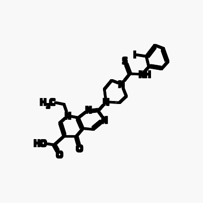 CCn1cc(C(=O)O)c(=O)c2cnc(N3CCN(C(=S)Nc4ccccc4I)CC3)nc21